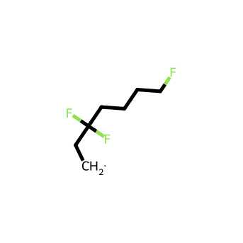 [CH2]CC(F)(F)CCCCF